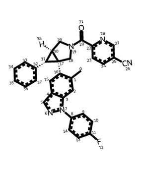 Cc1cc2c(cnn2-c2ccc(F)cc2)cc1[C@@]12CN(C(=O)c3ccc(C#N)cn3)C[C@@H]1[C@H]2c1ccccc1